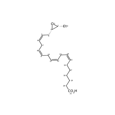 CC[C@H]1O[C@H]1C/C=C\C/C=C\C/C=C\C/C=C\CCCCCC(=O)O